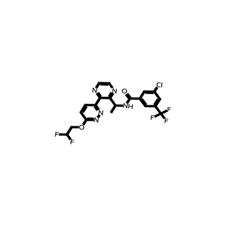 CC(NC(=O)c1cc(Cl)cc(C(F)(F)F)c1)c1nccnc1-c1ccc(OCC(F)F)nn1